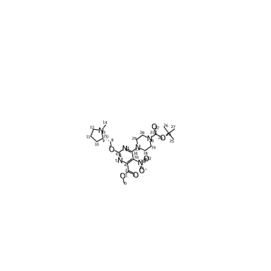 COC(=O)c1nc(OC[C@@H]2CCCN2C)nc(N2CCN(C(=O)OC(C)(C)C)CC2)c1[N+](=O)[O-]